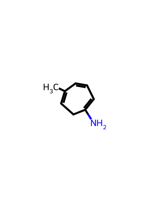 CC1=CCC(N)=CC=C1